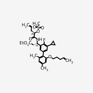 C=CCCCOc1cc(C)cc(C)c1-c1cc(C2CC2)c(F)c([C@H](CC(=O)OCC)NC(=O)[C@@H](CC=C)OS(C)(=O)=O)c1